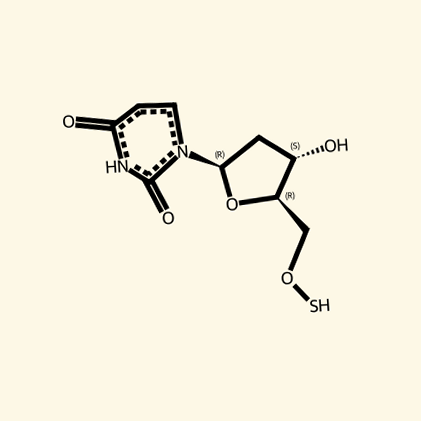 O=c1ccn([C@H]2C[C@H](O)[C@@H](COS)O2)c(=O)[nH]1